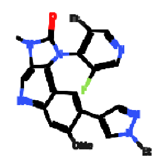 CCc1cncc(F)c1-n1c(=O)n(C)c2cnc3cc(OC)c(-c4cnn(CC)c4)cc3c21